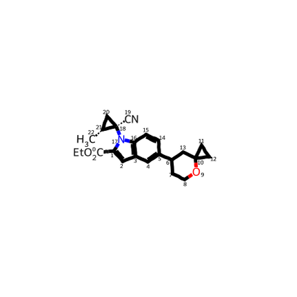 CCOC(=O)c1cc2cc(C3CCOC4(CC4)C3)ccc2n1[C@]1(C#N)C[C@H]1C